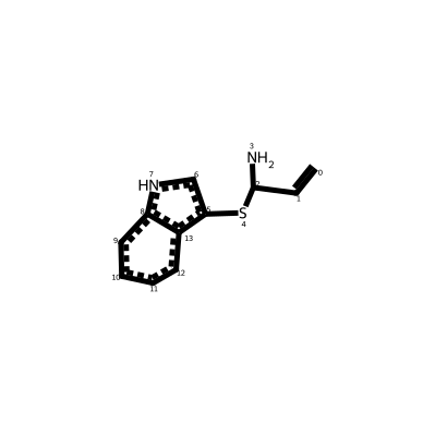 C=CC(N)Sc1c[nH]c2ccccc12